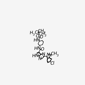 Cn1nc(-c2cnc3[nH]cc(C(=O)N[C@@H]4CCC[C@H](NC(=O)OC(C)(C)C)C4)c3n2)c2ccc(Cl)cc21